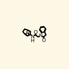 CN1C2CCC1CC(NC(=O)CN1C(=O)Cc3ccccc31)C2